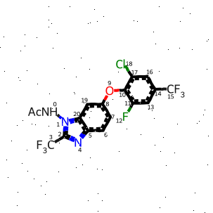 CC(=O)Nn1c(C(F)(F)F)nc2ccc(Oc3c(F)cc(C(F)(F)F)cc3Cl)cc21